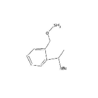 CCCCC(C)c1ccccc1CO[SiH3]